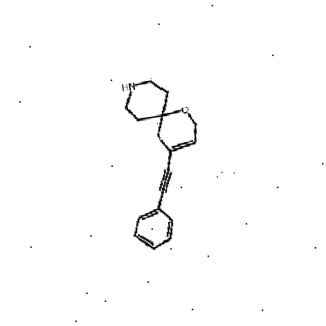 C(#Cc1ccccc1)C1=CCOC2(CCNCC2)C1